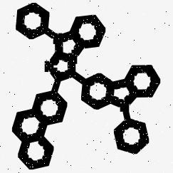 c1ccc(-n2c3ccccc3c3cc(-c4c(-c5ccc6c(ccc7ccccc76)c5)nc5n(-c6ccccc6)c6ccccc6n45)ccc32)cc1